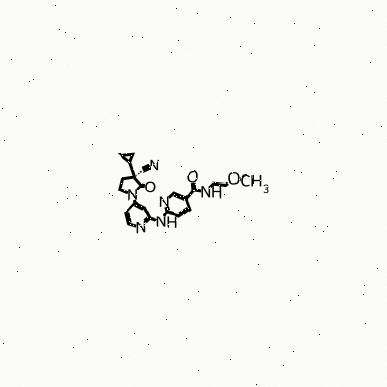 COCCNC(=O)c1ccc(Nc2cc(N3CC[C@@](C#N)(C4CC4)C3=O)ccn2)nc1